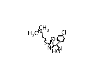 CN(C)CCCSc1ncc(C(=NO)c2ccc(Cl)cc2)n1C